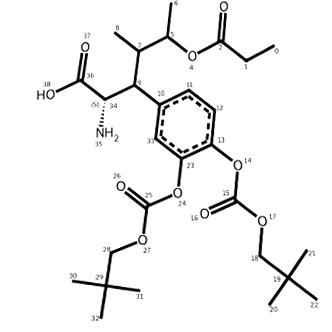 CCC(=O)OC(C)C(C)C(c1ccc(OC(=O)OCC(C)(C)C)c(OC(=O)OCC(C)(C)C)c1)[C@H](N)C(=O)O